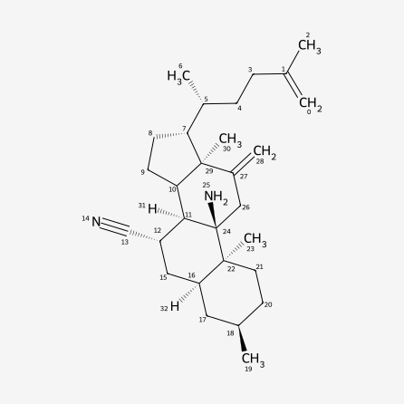 C=C(C)CC[C@@H](C)[C@H]1CCC2[C@@H]3[C@@H](C#N)C[C@@H]4C[C@H](C)CC[C@]4(C)[C@@]3(N)CC(=C)[C@@]21C